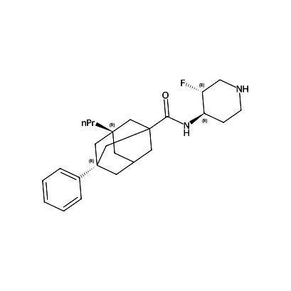 CCC[C@]12CC3CC(C(=O)N[C@@H]4CCNC[C@H]4F)(C1)C[C@@](c1ccccc1)(C3)C2